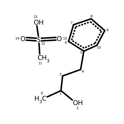 CC(O)CCc1ccccc1.CS(=O)(=O)O